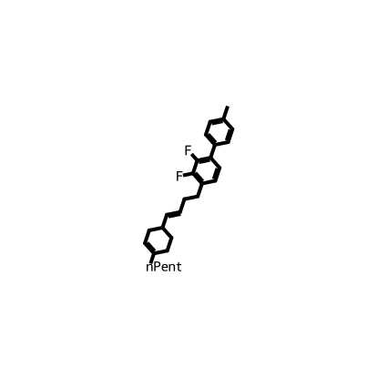 CCCCCC1=CCC(/C=C/CCc2ccc(-c3ccc(C)cc3)c(F)c2F)CC1